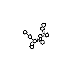 c1ccc(-c2ccc(-c3cc(-n4c5ccccc5c5c6c7ccccc7n(-c7ccc8ccccc8c7)c6ccc54)cc4c3Cc3ccccc3-4)cc2)cc1